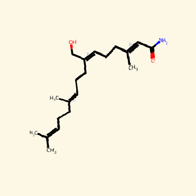 CC(C)=CCC/C(C)=C/CC/C(=C\CC/C(C)=C/C(N)=O)CO